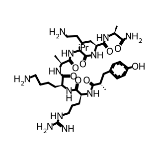 CC(C)[C@H](NC(=O)[C@H](C)NC(=O)[C@H](CCCCN)NC(=O)[C@H](CCCNC(=N)N)NC(=O)[C@@H](C)Cc1ccc(O)cc1)C(=O)N[C@@H](CCCCN)C(=O)N[C@@H](C)C(N)=O